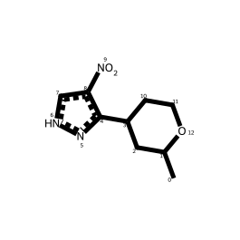 CC1CC(c2n[nH]cc2[N+](=O)[O-])CCO1